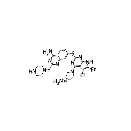 CCc1[nH]c2nc(Sc3ccc4c(N)nc(CN5CCNCC5)nc4c3)nc(N3CC[C@H](N)C3)c2c1Cl